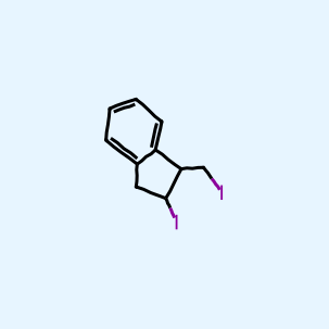 ICC1c2ccccc2CC1I